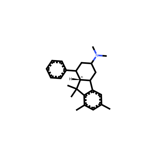 Cc1cc(C)c2c(c1)C1CC(N(C)C)CC(c3ccccc3)[C@H]1C2(C)C